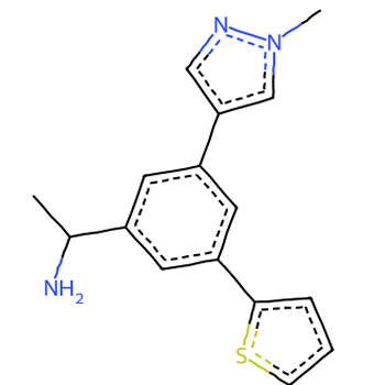 CC(N)c1cc(-c2cnn(C)c2)cc(-c2cccs2)c1